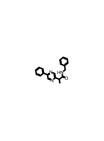 CC(C(=O)NCc1ccccc1)c1cnc(-c2ccccc2)cn1